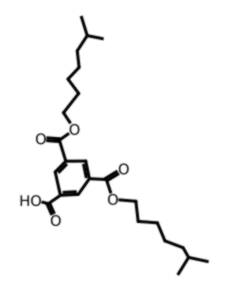 CC(C)CCCCCOC(=O)c1cc(C(=O)O)cc(C(=O)OCCCCCC(C)C)c1